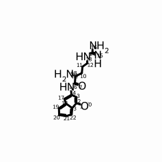 COc1cc(NC(=O)[C@@H](N)CCCNC(=N)N)cc2ccccc12